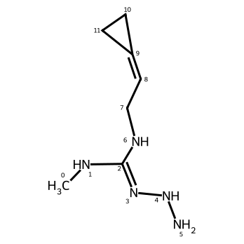 CN/C(=N/NN)NCC=C1CC1